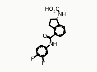 O=C(O)N[C@H]1CCc2c(C(=O)Nc3ccc(F)c(F)c3)cccc21